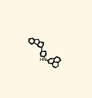 C1=Cc2cc(Nc3ccc(-c4ccc5c(c4)-c4ccccc4C5)cc3)cc3cccc(c23)C1